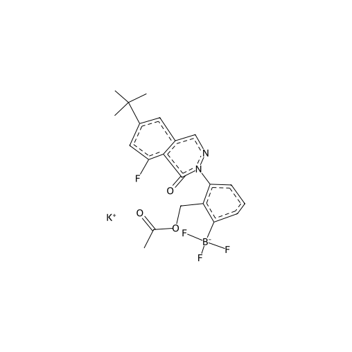 CC(=O)OCc1c(-n2ncc3cc(C(C)(C)C)cc(F)c3c2=O)cccc1[B-](F)(F)F.[K+]